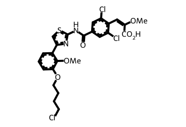 COC(=Cc1c(Cl)cc(C(=O)Nc2nc(-c3cccc(OCCCCCl)c3OC)cs2)cc1Cl)C(=O)O